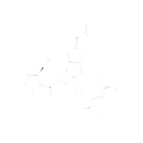 CCC1(NCC(=O)N2CCC[C@H]2C#N)CC2CN(C(=O)N(C)C)CC2C1.O=C(O)C(O)C(O)C(=O)O